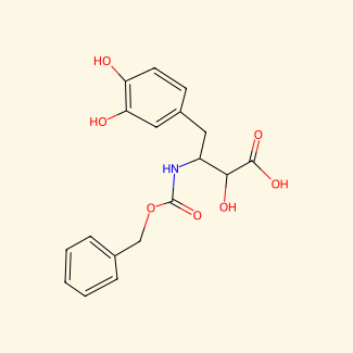 O=C(NC(Cc1ccc(O)c(O)c1)C(O)C(=O)O)OCc1ccccc1